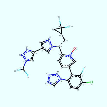 [O-][n+]1cc(-c2c(-n3cnnn3)ccc(Cl)c2F)ccc1[C@@H](C[C@H]1CC1(F)F)n1cc(-c2cn(C(F)F)nn2)cn1